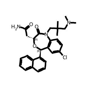 CN(C)CC(C)(C)CN1C(=O)[C@@H](CC(N)=O)O[C@H](c2cccc3ccccc23)c2cc(Cl)ccc21